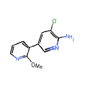 COc1ncccc1-c1cnc(N)c(Cl)c1